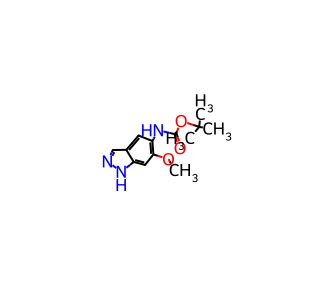 COc1cc2[nH]ncc2cc1NC(=O)OC(C)(C)C